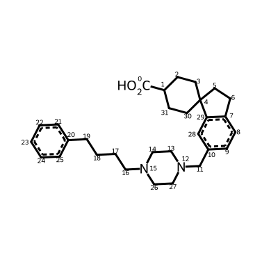 O=C(O)C1CCC2(CCc3ccc(CN4CCN(CCCCc5ccccc5)CC4)cc32)CC1